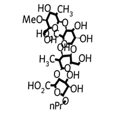 CCCO[C@@H]1OC(C(=O)O)[C@@H](O[C@H]2OC(CO)[C@@H](O[C@@H]3OC(C(=O)O)[C@@H](O[C@H]4OC(CO)[C@@H](OC)[C@H](O)C4C)C(O)[C@@H]3O)[C@H](O)C2C)C(O)[C@@H]1O